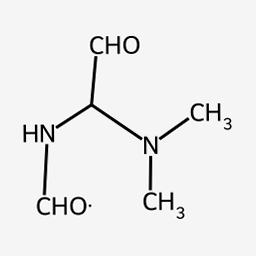 CN(C)C(C=O)N[C]=O